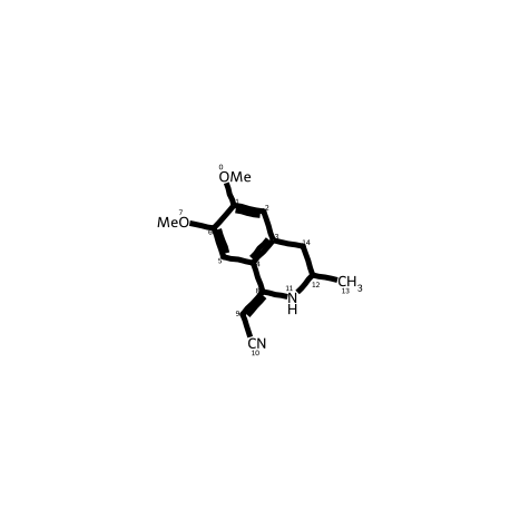 COc1cc2c(cc1OC)C(=CC#N)NC(C)C2